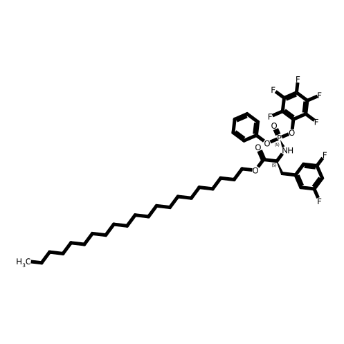 CCCCCCCCCCCCCCCCCCCCCOC(=O)[C@H](Cc1cc(F)cc(F)c1)N[P@](=O)(Oc1ccccc1)Oc1c(F)c(F)c(F)c(F)c1F